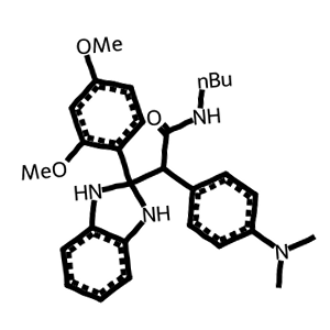 CCCCNC(=O)C(c1ccc(N(C)C)cc1)C1(c2ccc(OC)cc2OC)Nc2ccccc2N1